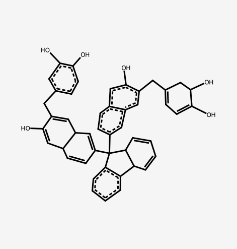 OC1=CC2C=CC(C3(c4ccc5cc(O)c(CC6=CC=C(O)C(O)C6)cc5c4)c4ccccc4C4C=CC=CC43)=CC2C=C1Cc1ccc(O)c(O)c1